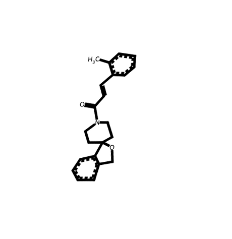 Cc1ccccc1/C=C/C(=O)N1CCC2(CC1)OCc1ccccc12